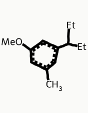 CCC(CC)c1cc(C)cc(OC)c1